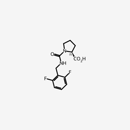 O=C(O)[C@@H]1CCCN1C(=O)NCc1c(F)cccc1F